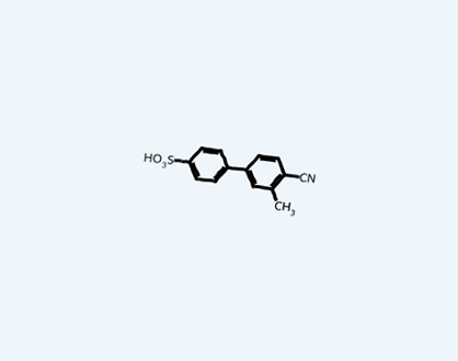 Cc1cc(-c2ccc(S(=O)(=O)O)cc2)ccc1C#N